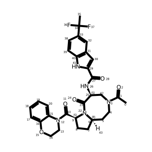 CC(=O)N1CC[C@H]2CC[C@@H](C(=O)N3CCOc4ccccc43)N2C(=O)[C@@H](NC(=O)c2cc3cc(C(C)(F)F)ccc3[nH]2)C1